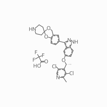 Cc1ncc(Cl)c([C@@H](C)Oc2ccc3[nH]nc(-c4ccc5c(c4)COC4(CCNCC4)O5)c3c2)c1Cl.O=C(O)C(F)(F)F